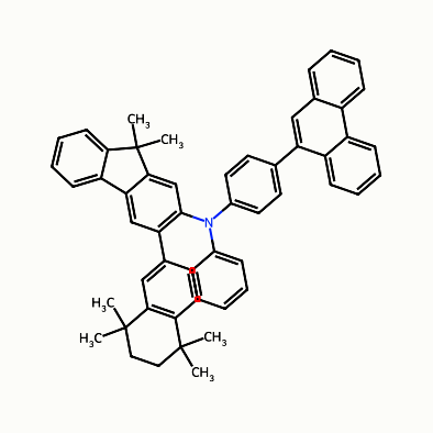 CC1(C)CCC(C)(C)c2cc(-c3cc4c(cc3N(c3ccccc3)c3ccc(-c5cc6ccccc6c6ccccc56)cc3)C(C)(C)c3ccccc3-4)ccc21